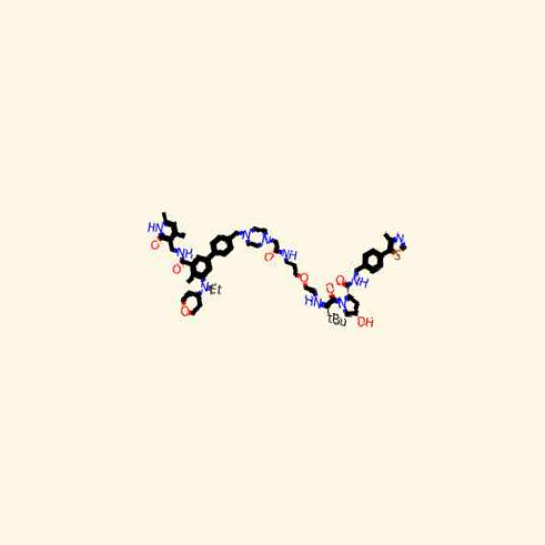 CCN(c1cc(-c2ccc(CN3CCN(CC(=O)NCCCOCCN[C@H](C(=O)N4C[C@H](O)C[C@H]4C(=O)NCc4ccc(-c5scnc5C)cc4)C(C)(C)C)CC3)cc2)cc(C(=O)NCc2c(C)cc(C)[nH]c2=O)c1C)C1CCOCC1